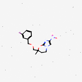 CC1(COCc2cccc(I)c2)CCn2cc([N+](=O)[O-])nc2O1